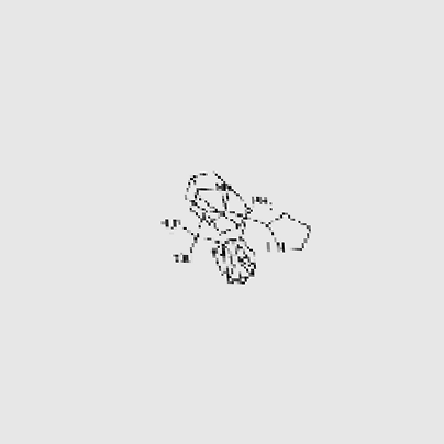 CC(C)(C)C(P)(C12CC3CC(CC(C3)C1)C2)[C]12[CH]3[CH]4[CH]5[C]1(C(P)(C1CCCN1)C1CCCN1)[Fe]45321678[CH]2[CH]1[CH]6[CH]7[CH]28